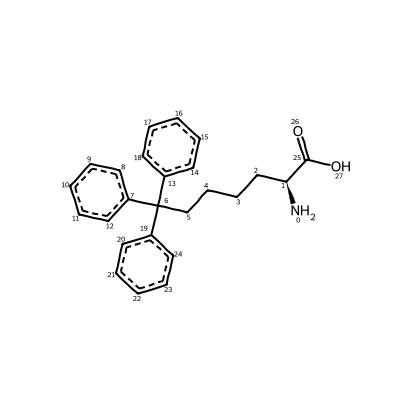 N[C@@H](CCCCC(c1ccccc1)(c1ccccc1)c1ccccc1)C(=O)O